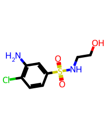 Nc1cc(S(=O)(=O)NCCO)ccc1Cl